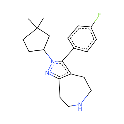 CC1(C)CCC(n2nc3c(c2-c2ccc(F)cc2)CCNCC3)C1